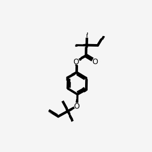 CCC(C)(C)Oc1ccc(OC(=O)C(C)(I)CC)cc1